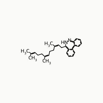 CC(C)=CCCC(C)=CCCC(C)=CCC1=c2ccccc2=c2ccccc2=NN1